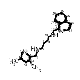 Cc1cnc(CNCCCCNCc2nccc3ccccc23)c(C)c1